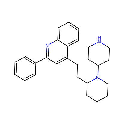 c1ccc(-c2cc(CCC3CCCCN3C3CCNCC3)c3ccccc3n2)cc1